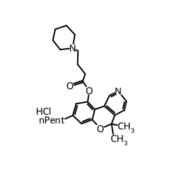 CCCCCc1cc(OC(=O)CCCN2CCCCC2)c2c(c1)OC(C)(C)c1ccncc1-2.Cl